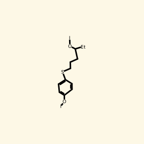 CCC(CCCSc1ccc(OI)cc1)OI